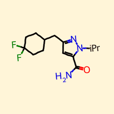 CC(C)n1nc(CC2CCC(F)(F)CC2)cc1C(N)=O